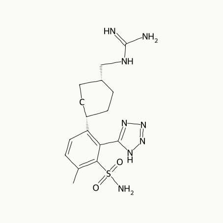 Cc1ccc([C@H]2CC[C@@H](CNC(=N)N)CC2)c(-c2nnn[nH]2)c1S(N)(=O)=O